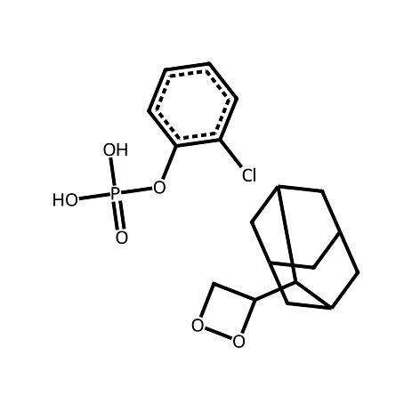 C1C2CC3CC1CC(C2)C3C1COO1.O=P(O)(O)Oc1ccccc1Cl